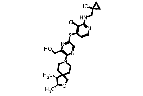 C[C@@H]1OCC2(CCN(c3ncc(Sc4ccnc(NCC5(O)CC5)c4Cl)nc3CO)CC2)[C@@H]1C